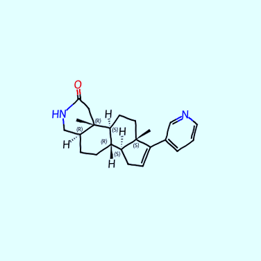 C[C@]12CC(=O)NC[C@@H]1CC[C@@H]1[C@@H]2CC[C@]2(C)C(c3cccnc3)=CC[C@@H]12